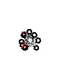 c1ccc(ON2P(Oc3ccccc3)(Oc3ccccc3)=NPNP(Oc3ccccc3)(Oc3ccccc3)(Oc3ccccc3)N(Oc3ccccc3)P2(Oc2ccccc2)(Oc2ccccc2)Oc2ccccc2)cc1